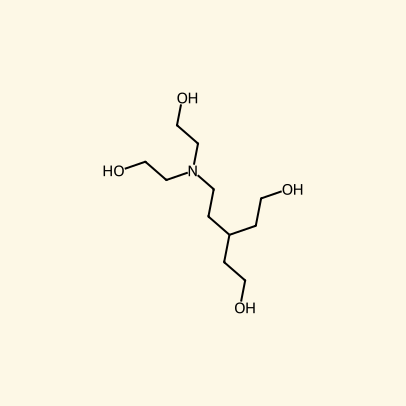 OCCC(CCO)CCN(CCO)CCO